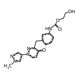 Cn1cc(-n2ccc(=O)c(Cc3cccc(NC(=O)OCCO)c3)n2)cn1